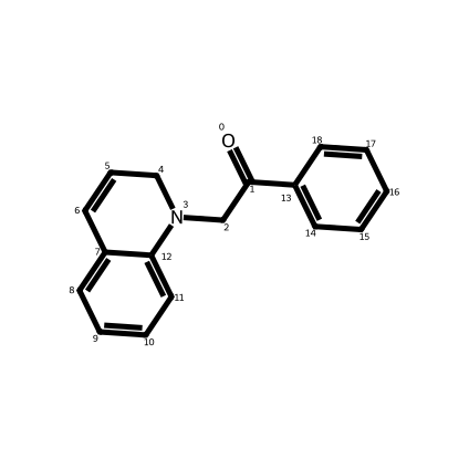 O=C(CN1CC=Cc2ccccc21)c1ccccc1